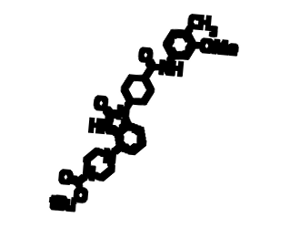 COc1cc(NC(=O)C2CCC(n3c(=O)[nH]c4c(N5CCN(C(=O)OC(C)(C)C)CC5)cccc43)CC2)ccc1C